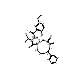 CCc1ccc(F)c(C(=O)N[C@@H](C(=O)N2CCCN(c3ccccc3)CN(C)C(=O)CC2)C(C)C)c1